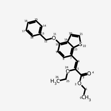 CCOC(=O)/C(=C/c1ccc(OCc2ccccc2)c2ccsc12)OCC